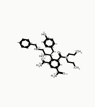 CCCN(CCC)C(=O)c1cc(C(N)=O)cc(C(N)=O)c1[C@H](Cc1ccc(O)cc1)[C@@H](O)CNCc1ccccc1